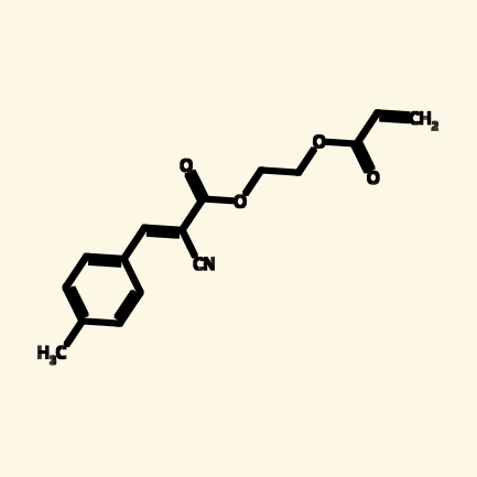 C=CC(=O)OCCOC(=O)/C(C#N)=C/c1ccc(C)cc1